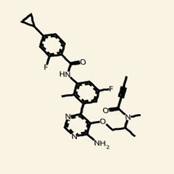 CC#CC(=O)N(C)C(C)COc1c(N)ncnc1-c1cc(F)cc(NC(=O)c2ccc(C3CC3)cc2F)c1C